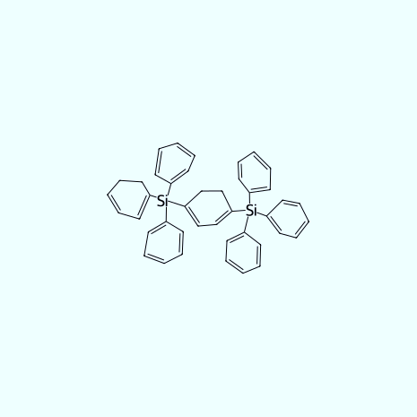 C1=CCCC([Si](C2=CC=C([Si](c3ccccc3)(c3ccccc3)c3ccccc3)CC2)(c2ccccc2)c2ccccc2)=C1